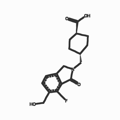 O=C1c2c(ccc(CO)c2F)CN1C[C@H]1CC[C@H](C(=O)O)CC1